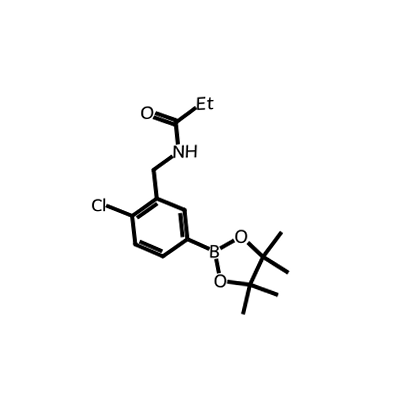 CCC(=O)NCc1cc(B2OC(C)(C)C(C)(C)O2)ccc1Cl